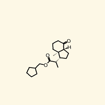 CC(C(=O)OCC1CCCC1)[C@H]1CC[C@H]2C(=O)CCC[C@]12C